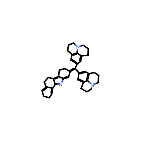 C1=C2CCC3=C4CCC(=C(c5cc6c7c(c5)CCCN7CCC6)c5cc6c7c(c5)CCCN7CCC6)C=C4N=C3C2=CCC1